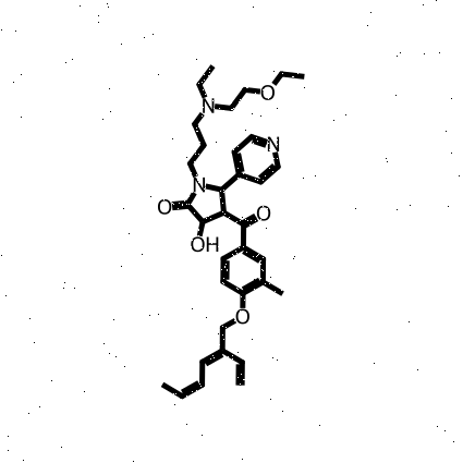 C=C/C(=C\C=C/C)COc1ccc(C(=O)C2C(O)C(=O)N(CCCN(CC)CCOCC)C2c2ccncc2)cc1C